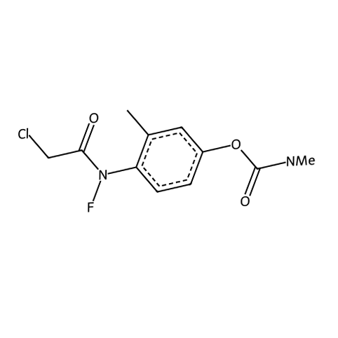 CNC(=O)Oc1ccc(N(F)C(=O)CCl)c(C)c1